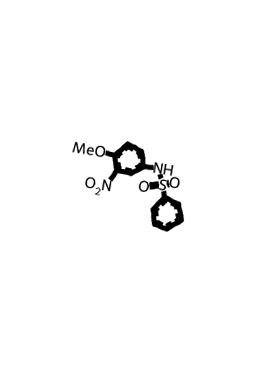 COc1ccc(NS(=O)(=O)c2ccccc2)cc1[N+](=O)[O-]